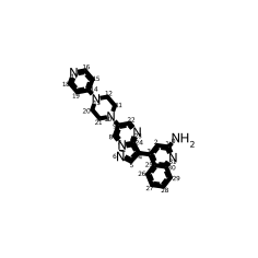 Nc1cc(-c2cnn3cc(N4CCN(c5ccncc5)CC4)cnc23)c2ccccc2n1